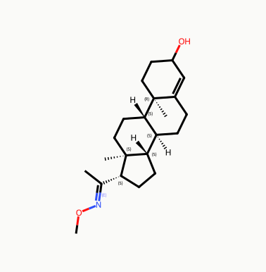 CO/N=C(\C)[C@H]1CC[C@H]2[C@@H]3CCC4=CC(O)CC[C@]4(C)[C@H]3CC[C@]12C